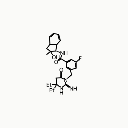 CCC1(CC)CC(=O)N(Cc2cc(F)cc(C(=O)N[C@@H]3C4C=CC=CC4CC3(C)O)c2)C(=N)N1